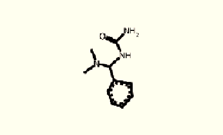 CN(C)C(NC(N)=O)c1ccccc1